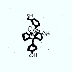 O=S(=O)(Nc1cccc(CS)c1)c1ccccc1C(c1ccc(O)cc1)c1ccc(O)cc1